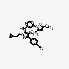 Cc1cc(C)n(-c2cc(Nc3c(C)c(-c4ccc(C#N)cc4)nn3CCC3CC3)ncn2)n1